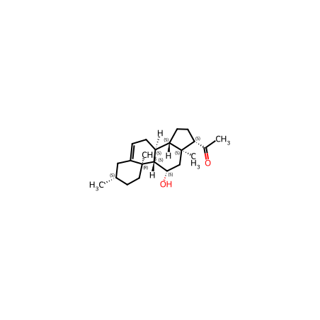 CC(=O)[C@H]1CC[C@H]2[C@@H]3CC=C4C[C@@H](C)CC[C@]4(C)[C@H]3[C@@H](O)C[C@]12C